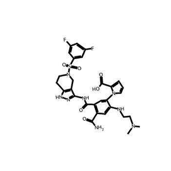 CN(C)CCNc1cc(C(N)=O)c(C(=O)Nc2n[nH]c3c2CN(S(=O)(=O)c2cc(F)cc(F)c2)CC3)cc1-n1cccc1C(=O)O